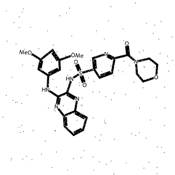 COc1cc(Nc2nc3ccccc3nc2NS(=O)(=O)c2ccc(C(=O)N3CCOCC3)nc2)cc(OC)c1